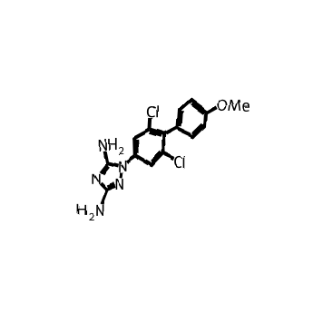 COc1ccc(-c2c(Cl)cc(-n3nc(N)nc3N)cc2Cl)cc1